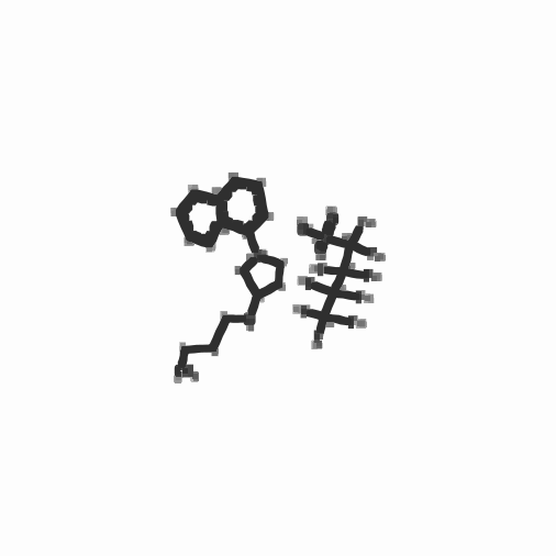 CCCCOC1CC[S+](c2cccc3ccccc23)C1.O=S(=O)([O-])C(F)(F)C(F)(F)C(F)(F)C(F)(F)F